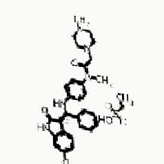 CCS(=O)(=O)O.CN1CCN(CC(=O)N(C)c2ccc(N/C(=C3\C(=O)Nc4cc(Cl)ccc43)c3ccccc3)cc2)CC1